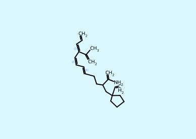 C=C/C=C(/C=C\C=C\CCC(CC1(C=C)CCCC1)C(=C)N)C(=C)C